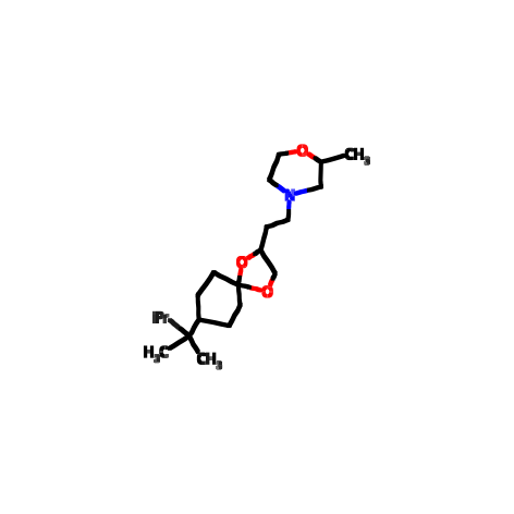 CC1CN(CCC2COC3(CCC(C(C)(C)C(C)C)CC3)O2)CCO1